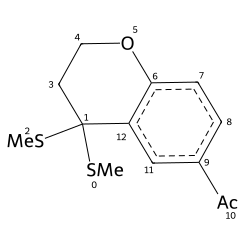 CSC1(SC)CCOc2ccc(C(C)=O)cc21